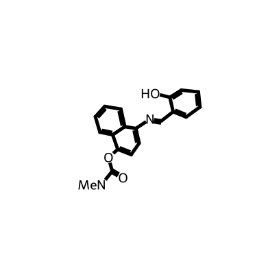 CNC(=O)Oc1ccc(N=Cc2ccccc2O)c2ccccc12